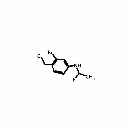 CC(F)Nc1ccc(CCl)c(Br)c1